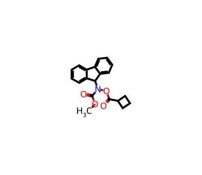 COC(=O)N(OC(=O)C1CCC1)C1c2ccccc2-c2ccccc21